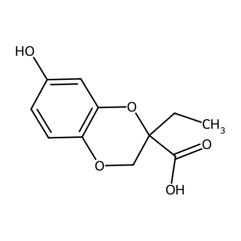 CCC1(C(=O)O)COc2ccc(O)cc2O1